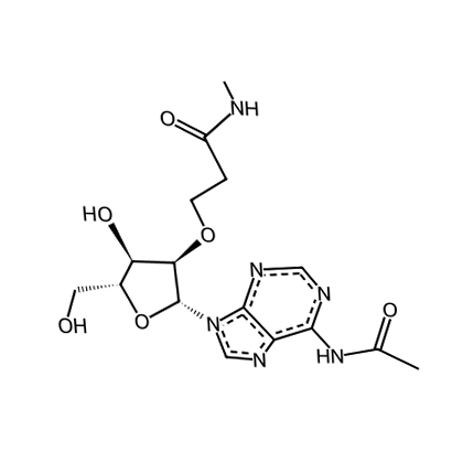 CNC(=O)CCO[C@@H]1[C@H](O)[C@@H](CO)O[C@H]1n1cnc2c(NC(C)=O)ncnc21